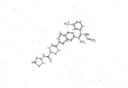 C=CN/C(=C(\C)c1ccc2ncc(C3=CCC(C(=O)O[C@@H]4CCNC4)CC3)cc2c1)c1cccc(C)n1